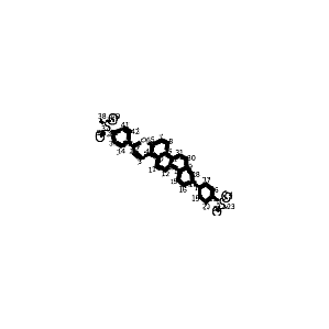 C=C(/C=C\c1c(C)ccc2c1ccc1c3ccc(-c4ccc(S(C)(=O)=O)cc4)cc3ccc21)c1ccc(S(C)(=O)=O)cc1